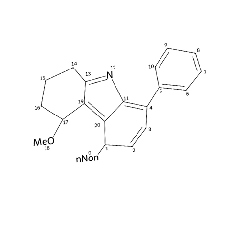 CCCCCCCCCC1C=CC(c2ccccc2)=C2N=C3CCCC(OC)C3=C21